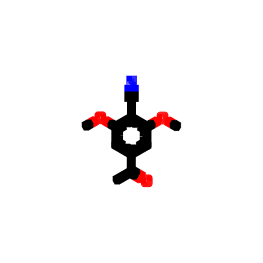 COc1cc(C(C)=O)cc(OC)c1C#N